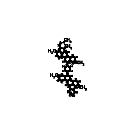 C=C/C=C\C1c2c(C)ccc3c2c(cc2c4ccc(C)cc4c(-c4ccc(-c5cc6c7ccc(C)c8c7c(cc6c6ccc(C)cc56)-c5ncccc5-8)cc4)cc32)C1C